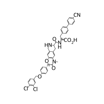 CN1C(=O)[C@H](c2ccc(OCc3ccc(Cl)c(Cl)c3)cc2)Oc2cc3c(cc21)CC(C(=O)N[C@@H](Cc1ccc(-c2ccc(C#N)cc2)cc1)C(=O)O)NC3